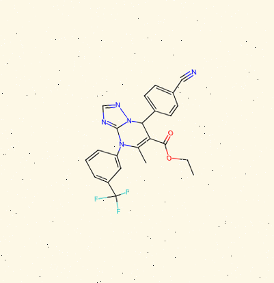 CCOC(=O)C1=C(C)N(c2cccc(C(F)(F)F)c2)c2ncnn2C1c1ccc(C#N)cc1